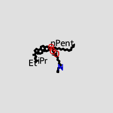 C#CCN(C)CCCCCCO[Si](C)(C)OC(CCCCCCC/C=C\C/C=C\CCCCC)OC1CCC2(C)C(=CCC3C2CCC2(C)C(C(C)/C=C/C(CC)C(C)C)CCC32)C1